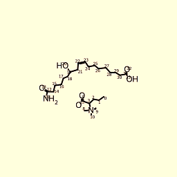 CCCC(C(=O)[O-])[N+](C)(C)C.NC(=O)CCCCC[C@@H](O)C/C=C\CCCCCCCC(=O)O